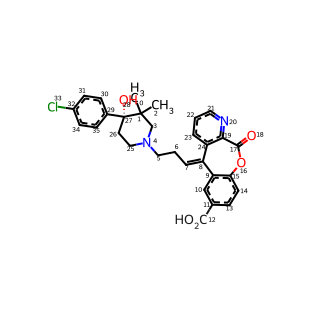 CC1(C)CN(CCC=C2c3cc(C(=O)O)ccc3OC(=O)c3ncccc32)CC[C@@]1(O)c1ccc(Cl)cc1